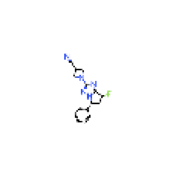 N#CC1CN(c2nc3n(n2)[C@H](c2ccccc2)C[C@@H]3F)C1